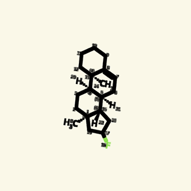 C[C@]12CC[C@@H]3[C@@H](CC=C4CCCC[C@@]43C)[C@@H]1CC(F)C2